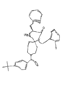 CC(C)(C)c1ccc(C(=O)N2CCC3(CC2)NC(Cc2ccccc2)C(=O)N3Cc2ccccc2F)cc1